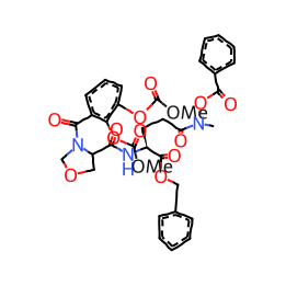 COC(=O)Oc1cccc(C(=O)N2COCC2C(=O)N[C@@H](CCC(=O)N(C)OC(=O)c2ccccc2)C(=O)OCc2ccccc2)c1OC(=O)OC